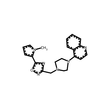 Cn1cccc1-c1nc(CN2CCN(c3ccnc4ccccc34)CC2)no1